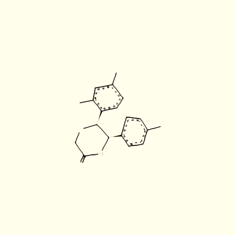 Cc1cc(Cl)ccc1[C@@H]1OCC(=O)N[C@@H]1c1ccc(Cl)cc1